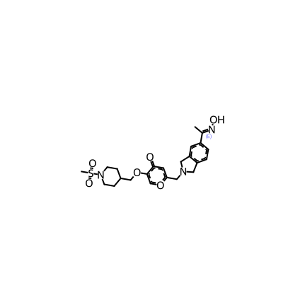 C/C(=N\O)c1ccc2c(c1)CN(Cc1cc(=O)c(OCC3CCN(S(C)(=O)=O)CC3)co1)C2